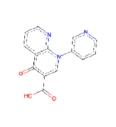 O=C(O)c1cn(-c2cccnc2)c2ncccc2c1=O